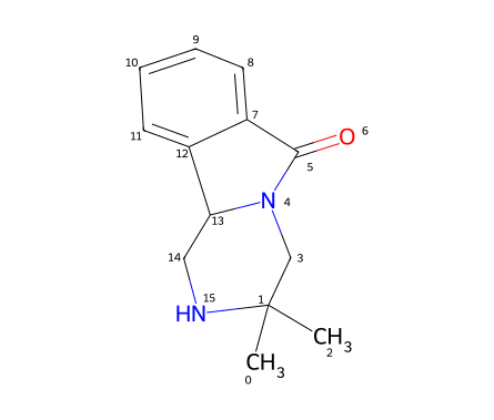 CC1(C)CN2C(=O)c3ccccc3C2CN1